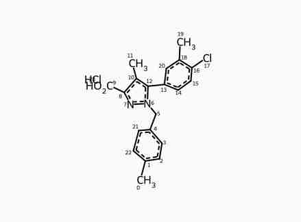 Cc1ccc(Cn2nc(C(=O)O)c(C)c2-c2ccc(Cl)c(C)c2)cc1.Cl